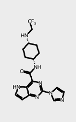 O=C(N[C@H]1CC[C@@H](NCC(F)(F)F)CC1)c1nc(-n2ccnc2)nc2cc[nH]c12